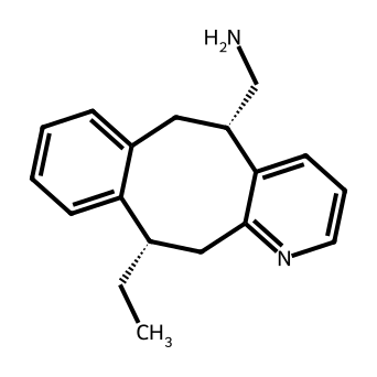 CC[C@H]1Cc2ncccc2[C@@H](CN)Cc2ccccc21